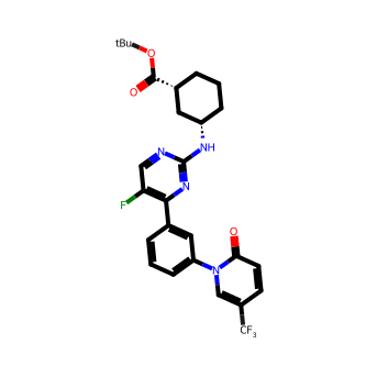 CC(C)(C)OC(=O)[C@@H]1CCC[C@H](Nc2ncc(F)c(-c3cccc(-n4cc(C(F)(F)F)ccc4=O)c3)n2)C1